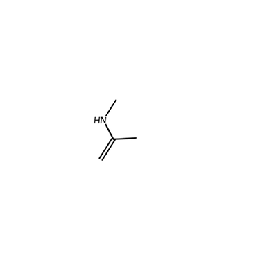 C=C(C)NC